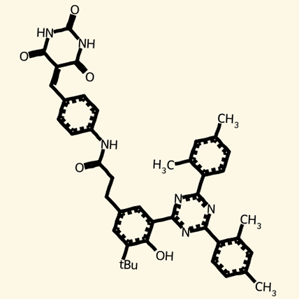 Cc1ccc(-c2nc(-c3ccc(C)cc3C)nc(-c3cc(CCC(=O)Nc4ccc(C=C5C(=O)NC(=O)NC5=O)cc4)cc(C(C)(C)C)c3O)n2)c(C)c1